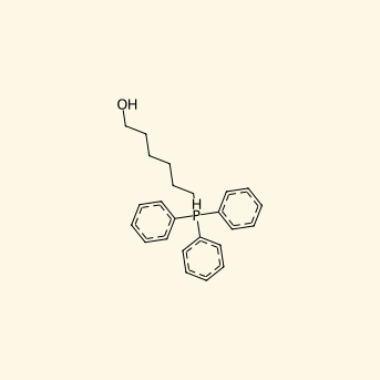 OCCCCCC[PH](c1ccccc1)(c1ccccc1)c1ccccc1